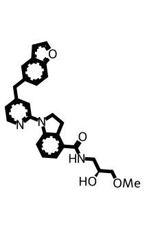 COC[C@@H](O)CNC(=O)c1cccc2c1CCN2c1cc(Cc2ccc3occc3c2)ccn1